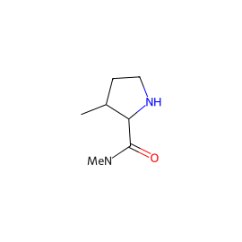 CNC(=O)C1NCCC1C